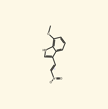 COc1cccc2c(/C=C/[N+](=O)[O-])c[nH]c12